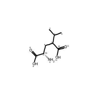 CC(C)C(C[C@H](N)C(=O)O)C(=O)O